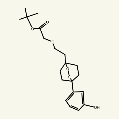 CC(C)(C)OC(=O)COCCC12CCC(c3cccc(O)c3)(CC1)CO2